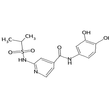 CC(C)S(=O)(=O)Nc1cc(C(=O)Nc2ccc(O)c(O)c2)ccn1